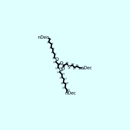 CCCCCCCCCCCCCCCCCCOCC(COCCCCCCCCCCCCCCCCCC)OC(=O)CSCCCCCCCCCCCCCC